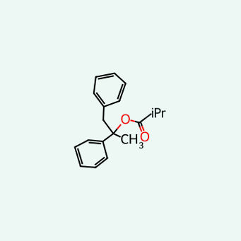 CC(C)C(=O)OC(C)(Cc1ccccc1)c1ccccc1